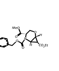 CCOC(=O)[C@@H]1[C@H]2OC[C@@H](C(=O)OC)N(C(=O)OCc3ccccc3)[C@H]21